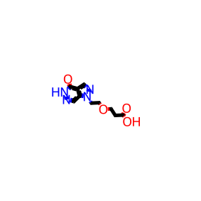 O=C(O)CCOCCn1ncc2c(=O)[nH]ncc21